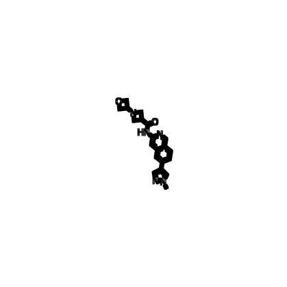 Cn1cc(-c2ccc3cnc(NC(=O)C4CN(C5COC5)C4)cc3c2)cn1